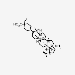 C=C(C)[C@@H]1CC[C@]2(N)CC[C@]3(C)[C@H](CC[C@@H]4C5(C)CC=C(C6=CCC(CF)(C(=O)O)CC6)C(C)(C)[C@@H]5CC[C@]43C)[C@@H]12